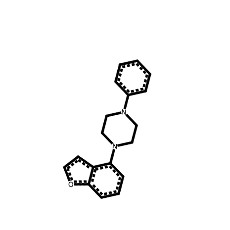 c1ccc(N2CCN(c3cccc4occc34)CC2)cc1